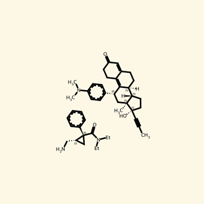 CC#C[C@]1(O)CC[C@H]2[C@@H]3CCC4=CC(=O)CCC4=C3[C@@H](c3ccc(N(C)C)cc3)C[C@@]21C.CCN(CC)C(=O)[C@]1(c2ccccc2)C[C@@H]1CN